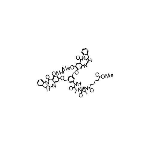 COC(=O)CCCCC(=O)NC(C)C(=O)NC(C)C(=O)Nc1cc(COc2cc3c(cc2OC)C(=O)N2c4ccccc4C[C@H]2C=N3)cc(COc2cc3c(cc2OC)C(=O)N2c4ccccc4C[C@H]2C=N3)c1